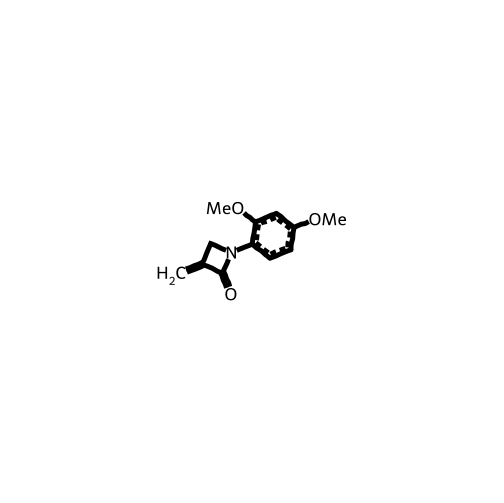 C=C1CN(c2ccc(OC)cc2OC)C1=O